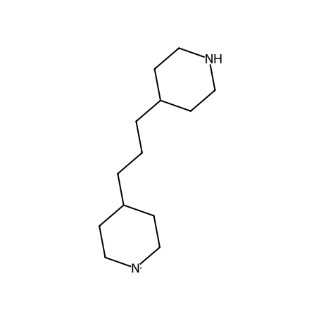 C(CC1CC[N]CC1)CC1CCNCC1